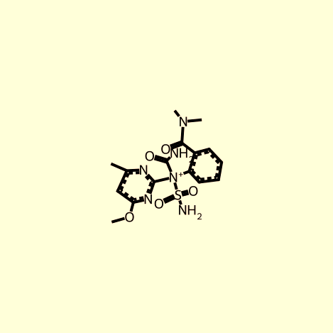 COc1cc(C)nc([N+](C(N)=O)(c2ccccc2C(=O)N(C)C)S(N)(=O)=O)n1